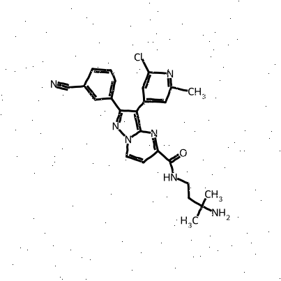 Cc1cc(-c2c(-c3cccc(C#N)c3)nn3ccc(C(=O)NCCC(C)(C)N)nc23)cc(Cl)n1